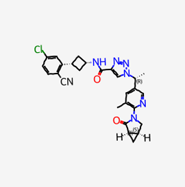 Cc1cc([C@@H](C)n2cc(C(=O)N[C@H]3C[C@@H](c4cc(Cl)ccc4C#N)C3)nn2)cnc1N1C[C@H]2C[C@H]2C1=O